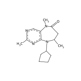 Cc1ncc2c(n1)N(C1CCCC1)C(C)CC(=O)N2C